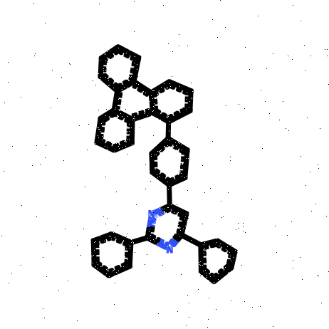 c1ccc(-c2cc(-c3ccc(-c4cccc5c6ccccc6c6ccccc6c45)cc3)nc(-c3ccccc3)n2)cc1